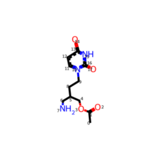 CC(=O)OCC(CN)CCn1ccc(=O)[nH]c1=O